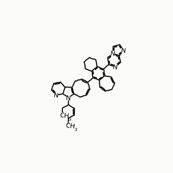 CC/C=C\C(CC)N1C2=C(C/C=C(c3c4c(c(-c5cn6ccnc6cn5)c5c3CCCC5)C=CCC=C4)\C=C/C2)C2C=CC=NC21